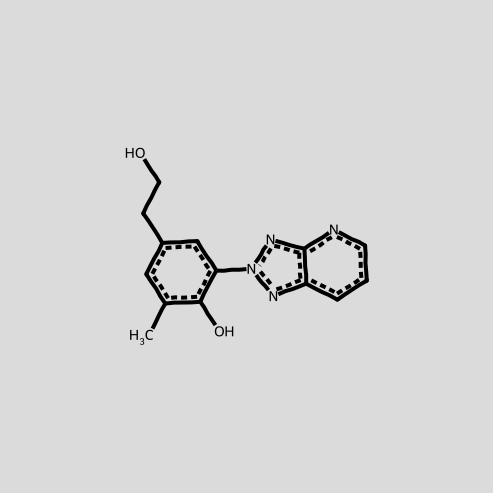 Cc1cc(CCO)cc(-n2nc3cccnc3n2)c1O